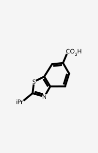 CC(C)c1nc2ccc(C(=O)O)cc2s1